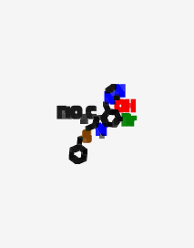 CCOC(=O)c1c(CSCc2ccccc2)n(C)c2cc(Br)c(O)c(Cn3ccnc3)c12